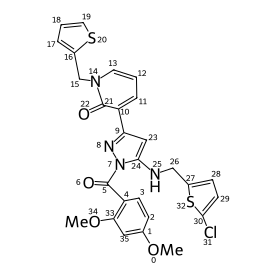 COc1ccc(C(=O)n2nc(-c3cccn(Cc4cccs4)c3=O)cc2NCc2ccc(Cl)s2)c(OC)c1